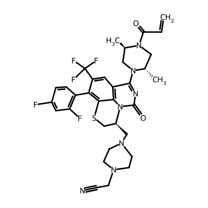 C=CC(=O)N1C[C@H](C)N(c2nc(=O)n3c4c(c(-c5ccc(F)cc5F)c(C(F)(F)F)cc24)SC[C@@H]3CN2CCN(CC#N)CC2)C[C@H]1C